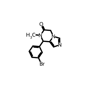 CN1C(=O)Cn2cncc2C1c1cccc(Br)c1